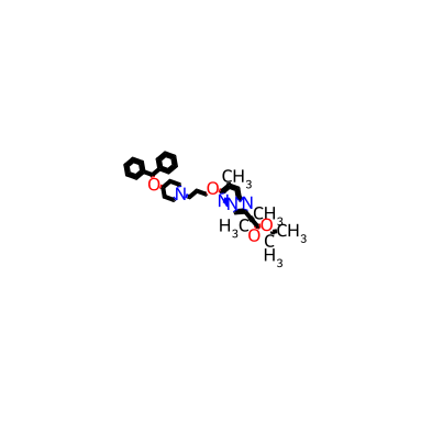 Cc1cc2nc(C(C)(C)C(=O)OC(C)C)cn2nc1OCCCN1CCC(OC(c2ccccc2)c2ccccc2)CC1